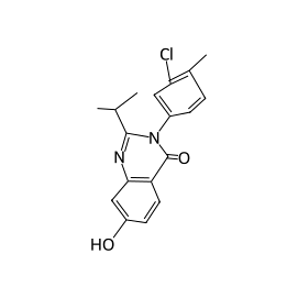 Cc1ccc(-n2c(C(C)C)nc3cc(O)ccc3c2=O)cc1Cl